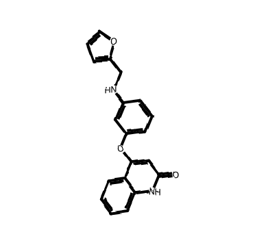 O=c1cc(Oc2cccc(NCc3ccco3)c2)c2ccccc2[nH]1